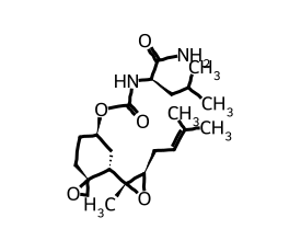 CC(C)=CC[C@H]1O[C@]1(C)[C@H]1C[C@H](OC(=O)N[C@H](CC(C)C)C(N)=O)CC[C@]12CO2